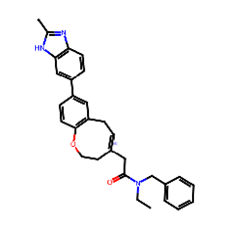 CCN(Cc1ccccc1)C(=O)C/C1=C/Cc2cc(-c3ccc4nc(C)[nH]c4c3)ccc2OCC1